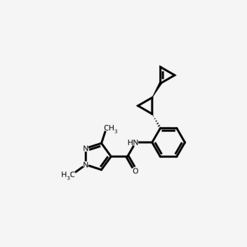 Cc1nn(C)cc1C(=O)Nc1ccccc1[C@@H]1C[C@H]1C1=CC1